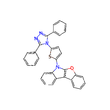 c1ccc(-c2nnc(-c3ccccc3)n2-c2ccc(-n3c4ccccc4c4c5ccccc5oc43)s2)cc1